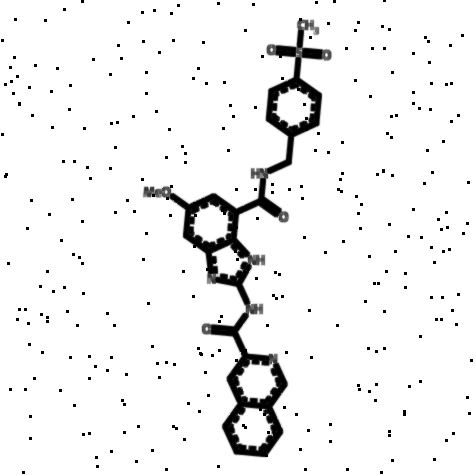 COc1cc(C(=O)NCc2ccc(S(C)(=O)=O)cc2)c2[nH]c(NC(=O)c3cc4ccccc4cn3)nc2c1